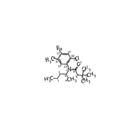 CCCC(C)N(C(=O)CC(C)(C)C)c1cc(C)c(F)cc1Cl